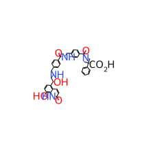 O=C(NCc1ccc(C(=O)N2CC(C(=O)O)(c3ccccc3)C2)cc1)c1ccc(CNC[C@H](O)c2ccc(O)c3[nH]c(=O)ccc23)cc1